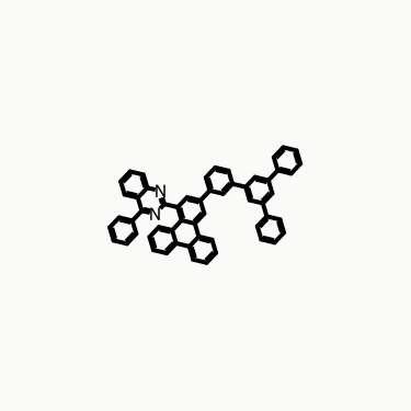 c1ccc(-c2cc(-c3ccccc3)cc(-c3cccc(-c4cc(-c5nc(-c6ccccc6)c6ccccc6n5)c5c6ccccc6c6ccccc6c5c4)c3)c2)cc1